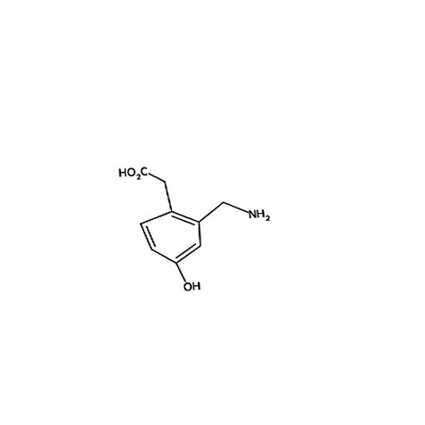 NCc1cc(O)ccc1CC(=O)O